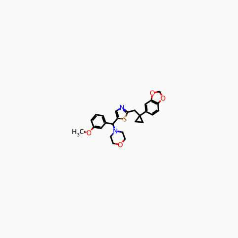 COc1cccc(C(c2cnc(CC3(c4ccc5c(c4)OCO5)CC3)s2)N2CCOCC2)c1